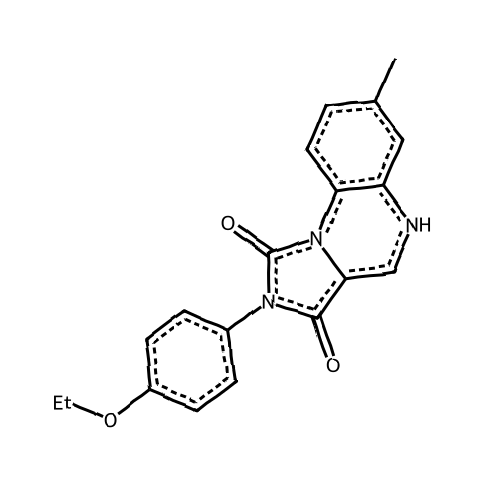 CCOc1ccc(-n2c(=O)c3c[nH]c4cc(C)ccc4n-3c2=O)cc1